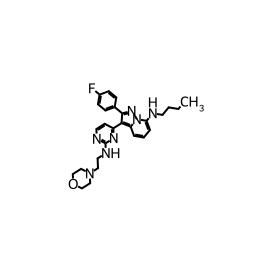 CCCCNc1cccc2c(-c3ccnc(NCCN4CCOCC4)n3)c(-c3ccc(F)cc3)nn12